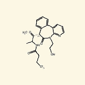 CC(NC(=O)CCC(F)(F)F)C(=O)[C@H]1C(=O)N(CCO)c2ncccc2-c2ccccc21.O